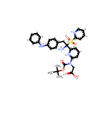 CC(C)(C)OC(=O)N(CC(=O)O)c1cccc(C(N)(Cc2ccc(Nc3ccccc3)cc2)S(=O)(=O)c2ccccn2)n1